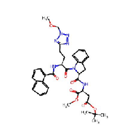 COCn1nnc(CC[C@H](NC(=O)c2cccc3ccccc23)C(=O)N2c3ccccc3C[C@H]2C(=O)N[C@@H](CC(=O)OC(C)(C)C)C(=O)OC)n1